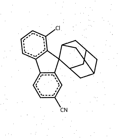 N#Cc1ccc2c(c1)C1(c3c(Cl)cccc3-2)C2CC3CC(C2)CC1C3